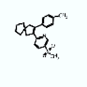 Cc1ccc(C2=C(c3ccc(S(C)(=O)=O)cn3)CC3(CCCC3)C2)cc1